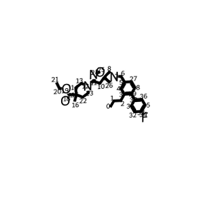 CCCc1cc(CN2CC3(CC(N4CCC(C)(C(=O)OCC)CC4)=NO3)C2)ccc1-c1ccc(F)cc1